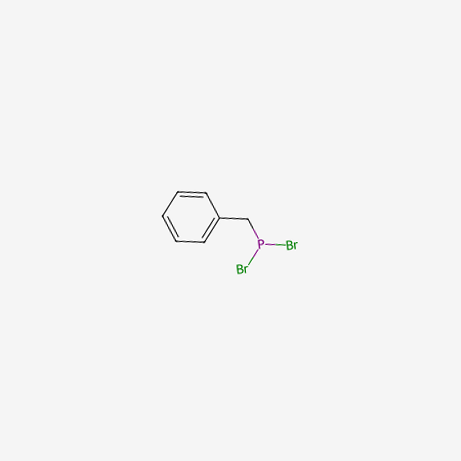 BrP(Br)Cc1ccccc1